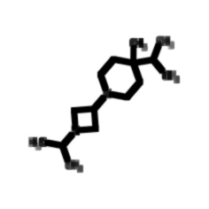 CC(C)N1CC(N2CCC(C)(C(C)C)CC2)C1